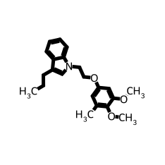 CCCc1cn(CCOc2cc(C)c(OC)c(OC)c2)c2ccccc12